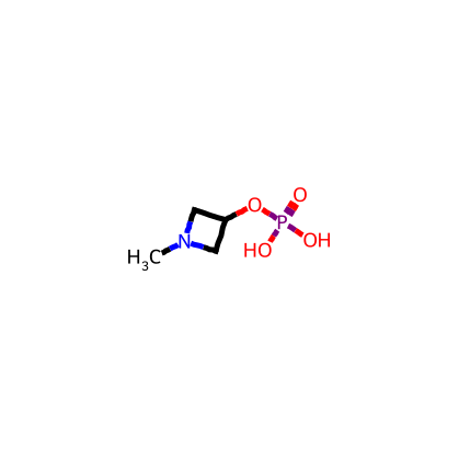 CN1CC(OP(=O)(O)O)C1